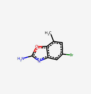 Cc1cc(Br)cc2nc(N)oc12